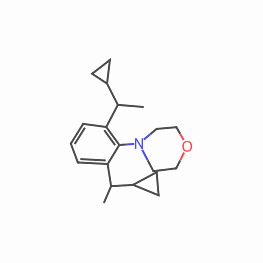 CC(c1cccc(C(C)C2CC2)c1N1CCOCC1)C1CC1